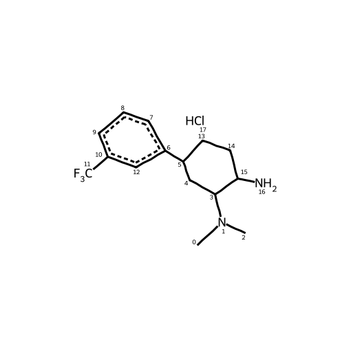 CN(C)C1CC(c2cccc(C(F)(F)F)c2)CCC1N.Cl